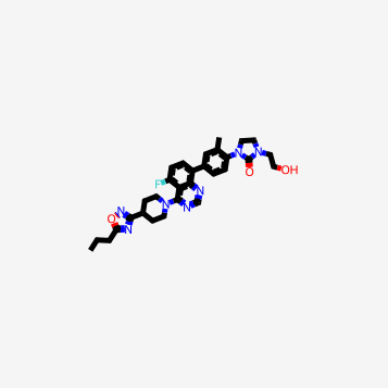 CCCc1nc(C2CCN(c3ncnc4c(-c5ccc(N6CCN(CCO)C6=O)c(C)c5)ccc(F)c34)CC2)no1